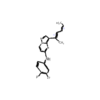 C/C=C\C=C(/C)c1cnn2ccc(Nc3ccc(F)c(Cl)c3)nc12